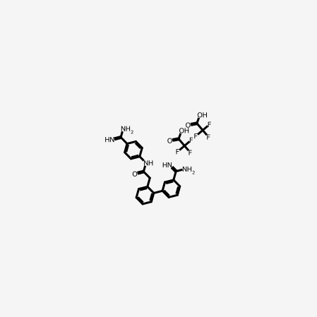 N=C(N)c1ccc(NC(=O)Cc2ccccc2-c2cccc(C(=N)N)c2)cc1.O=C(O)C(F)(F)F.O=C(O)C(F)(F)F